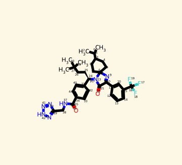 CC(C)C1CCC2(CC1)N=C(c1cccc(C(F)(F)F)c1)C(=O)N2[C@H](CCC(C)(C)C)c1ccc(C(=O)NCc2nn[nH]n2)cc1